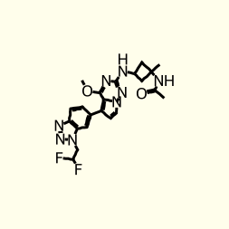 COc1nc(NC2CC(C)(NC(C)=O)C2)nn2ccc(-c3ccc4nnn(CC(F)F)c4c3)c12